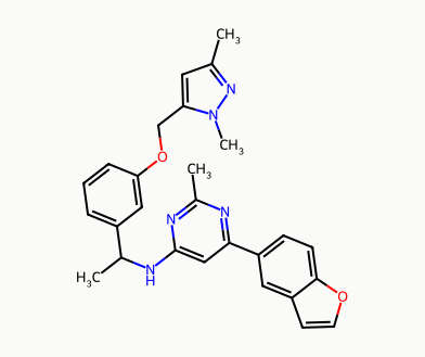 Cc1cc(COc2cccc(C(C)Nc3cc(-c4ccc5occc5c4)nc(C)n3)c2)n(C)n1